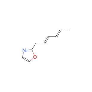 [CH2]C=CC=CCc1ncco1